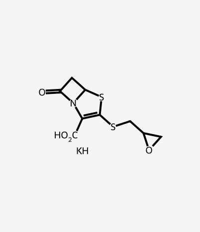 O=C(O)C1=C(SCC2CO2)SC2CC(=O)N12.[KH]